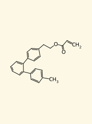 C=CC(=O)OCCc1ccc(-c2ccccc2-c2ccc(C)cc2)cc1